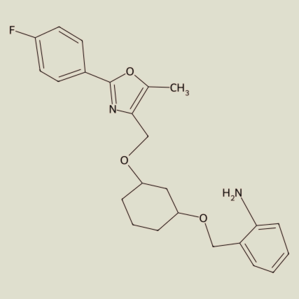 Cc1oc(-c2ccc(F)cc2)nc1COC1CCCC(OCc2ccccc2N)C1